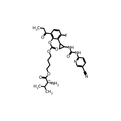 CCC(=O)c1ccc(F)c(C2CC2NC(=O)Nc2ccc(C#N)cn2)c1OC(=O)OCCCCOC(=O)[C@@H](N)C(C)C